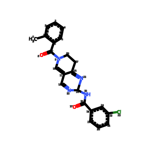 Cc1ccccc1C(=O)N1C=C2C=NC(NC(=O)c3cccc(Cl)c3)N=C2CC1